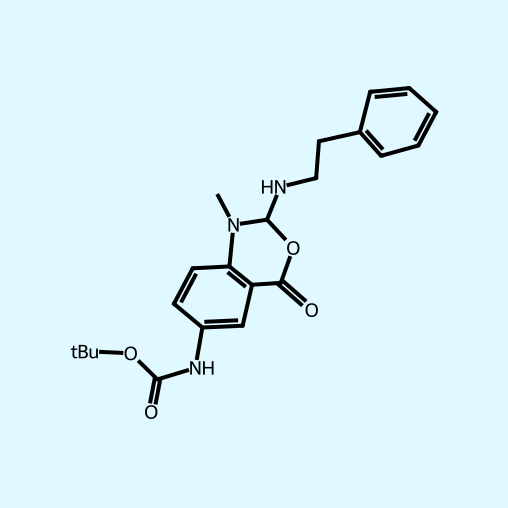 CN1c2ccc(NC(=O)OC(C)(C)C)cc2C(=O)OC1NCCc1ccccc1